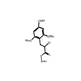 CCCCCCOC(=O)C(CC)Cc1c(OC)cc(OC)cc1OC